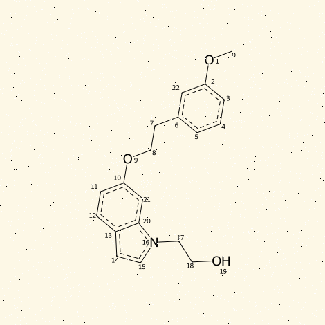 COc1cccc(CCOc2ccc3ccn(CCO)c3c2)c1